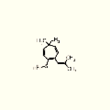 CCCSC1=C(C=C(C)C)C=CC(C)(C)C=C1